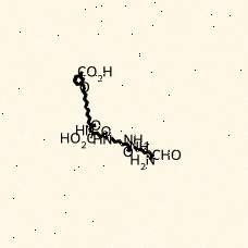 N[C@H]([C]=O)CCCCNC(=O)[C@@H](N)CCCCNC(=O)CC[C@H](NC(=O)CCCCCCCCCOc1cccc(C(=O)O)c1)C(=O)O